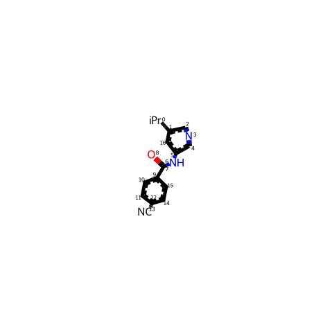 CC(C)c1cncc(NC(=O)c2ccc(C#N)cc2)c1